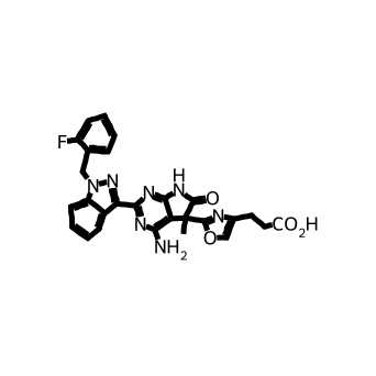 CC1(c2nc(CCC(=O)O)co2)C(=O)Nc2nc(-c3nn(Cc4ccccc4F)c4ccccc34)nc(N)c21